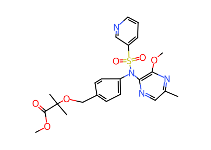 COC(=O)C(C)(C)OCc1ccc(N(c2ncc(C)nc2OC)S(=O)(=O)c2cccnc2)cc1